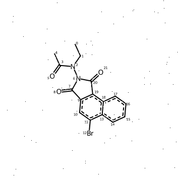 CCN(C(C)=O)N1C(=O)c2cc(Br)c3ccccc3c2C1=O